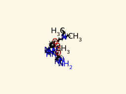 CCCN(CCC)CCCOc1ccc2c(c1OC)N=C(NC(=O)c1cnc(N)nc1)N1CCN=C21